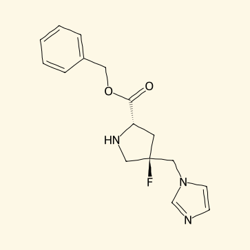 O=C(OCc1ccccc1)[C@@H]1C[C@](F)(Cn2ccnc2)CN1